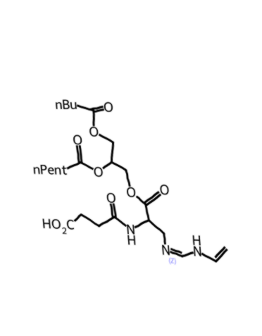 C=CN/C=N\CC(NC(=O)CCC(=O)O)C(=O)OCC(COC(=O)CCCC)OC(=O)CCCCC